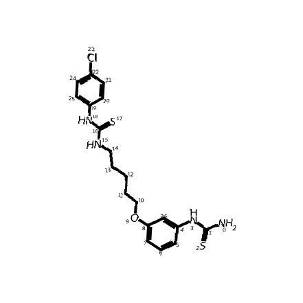 NC(=S)Nc1cccc(OCCCCCNC(=S)Nc2ccc(Cl)cc2)c1